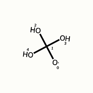 [O]C(O)(O)O